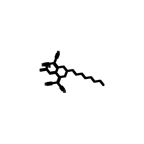 CCCCCCCCC1CC(=C(C#N)C#N)C(=CC(=O)O)C(=C(C#N)C#N)C1